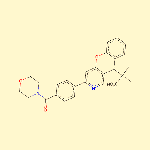 CC(C)(C(=O)O)C1c2ccccc2Oc2cc(-c3ccc(C(=O)N4CCOCC4)cc3)ncc21